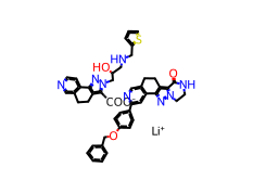 O=C([O-])c1c2c(nn1CC(O)CNCc1cccs1)-c1ccncc1CC2.O=C1NCCn2nc3c(c21)CCc1cnc(-c2ccc(OCc4ccccc4)cc2)cc1-3.[Li+]